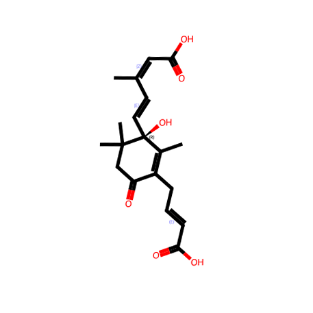 CC1=C(C/C=C/C(=O)O)C(=O)CC(C)(C)[C@]1(O)/C=C/C(C)=C\C(=O)O